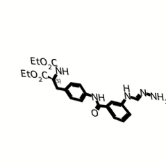 CCOC(=O)N[C@@H](Cc1ccc(NC(=O)c2cccc(NC=NN)c2)cc1)C(=O)OCC